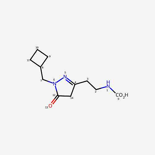 O=C(O)NCCC1=NN(CC2CCC2)C(=O)C1